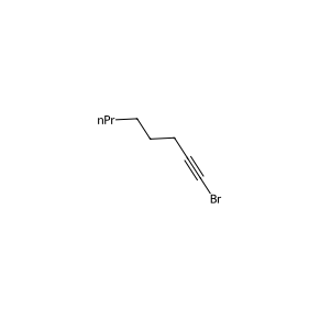 CCCCCCC#CBr